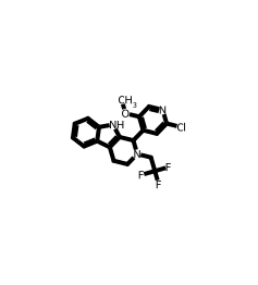 COc1cnc(Cl)cc1C1c2[nH]c3ccccc3c2CCN1CC(F)(F)F